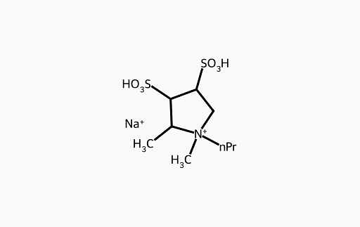 CCC[N+]1(C)CC(S(=O)(=O)O)C(S(=O)(=O)O)C1C.[Na+]